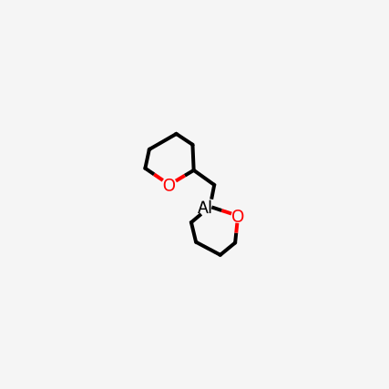 C1CCC([CH2][Al]2[CH2]CCC[O]2)OC1